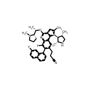 Cc1cc2c(O[C@@H](C)[C@@H]3CCCN3C)nc3c(F)c(-c4cccc5ccc(F)cc45)c(CCC#N)cc3c2n1[C@H]1[C@H](C)CN[C@@H]1C